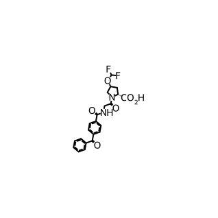 O=C(NCC(=O)N1CC(OC(F)F)C[C@@H]1C(=O)O)c1ccc(C(=O)c2ccccc2)cc1